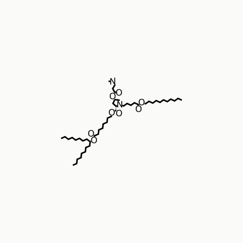 CCCCCCCCCCCOC(=O)CCCCN1CC(OC(=O)CCN(C)C)C[C@H]1C(=O)OCCCCCCCC(=O)OC(CCCCCCCC)CCCCCCCC